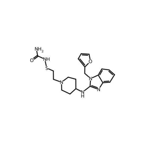 NC(=O)NSCCN1CCC(Nc2nc3ccccc3n2Cc2ccco2)CC1